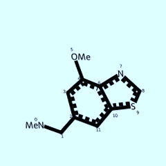 CNCc1cc(OC)c2ncsc2c1